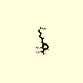 CCCCCCCCCCCCCCc1cccc(C(N)=O)c1O